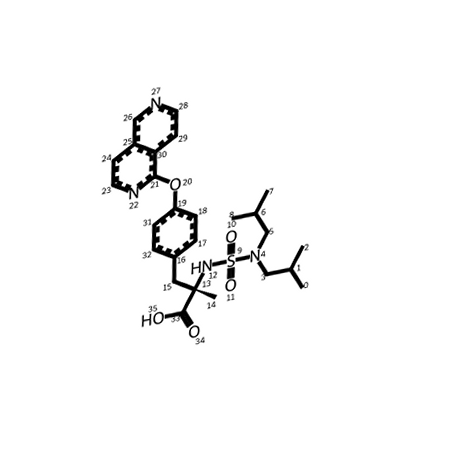 CC(C)CN(CC(C)C)S(=O)(=O)N[C@@](C)(Cc1ccc(Oc2nccc3cnccc23)cc1)C(=O)O